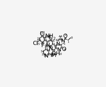 C=CC(=O)N1CC2C(=O)N(C)C3=C(c4cc(F)c(-c5c(N)c(Cl)cc(Cl)c5F)nc4N(c4c(C)ccnc4C(C)C)C3O)N2CC1C